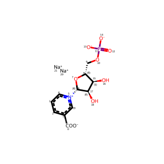 O=C([O-])c1ccc[n+]([C@@H]2O[C@H](COP(=O)([O-])[O-])[C@@H](O)[C@H]2O)c1.[Na+].[Na+]